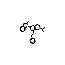 Cc1cc2ccccc2n1-c1nc2c(c(NCc3ccccc3)n1)CN(C(C)C)CC2